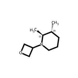 C[C@@H]1CCCN(C2COC2)[C@H]1C